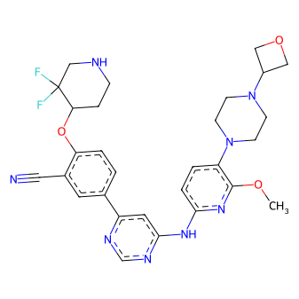 COc1nc(Nc2cc(-c3ccc(OC4CCNCC4(F)F)c(C#N)c3)ncn2)ccc1N1CCN(C2COC2)CC1